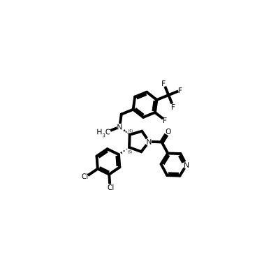 CN(Cc1ccc(C(F)(F)F)c(F)c1)[C@@H]1CN(C(=O)c2cccnc2)C[C@@H]1c1ccc(Cl)c(Cl)c1